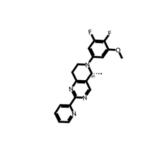 COc1cc(N2CCc3nc(-c4ccccn4)ncc3[C@H]2C)cc(F)c1F